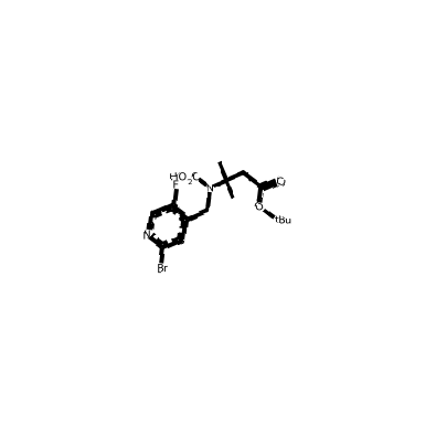 CC(C)(C)OC(=O)CC(C)(C)N(Cc1cc(Br)ncc1F)C(=O)O